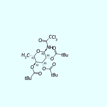 C[C@@H]1O[C@@H](NC(=O)C(Cl)(Cl)Cl)[C@H](OC(=O)C(C)(C)C)[C@H](OC(=O)C(C)(C)C)[C@H]1OC(=O)C(C)(C)C